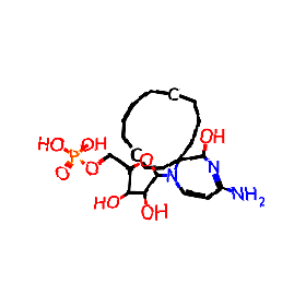 NC1=NC(O)C2(CCCCCCCCCCC2)N(C2OC(COP(=O)(O)O)C(O)C2O)C=C1